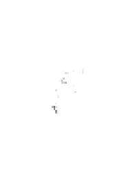 CC[C@]1(C(C)S)CCCN(C(=O)C(C)C)C1